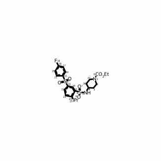 CCOC(=O)N1CCC(NS(=O)(=O)c2cc(S(=O)(=O)c3ccc(F)cc3)ccc2C(C)C)CC1